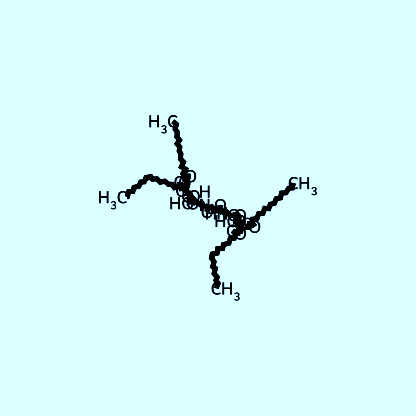 CCCCCCCC/C=C\CCCCCCCC(=O)O[C@H](COC(=O)CCCCCCCCCCCCCCC)COP(=O)(O)OCCNC(=O)CCC(=O)NCCOP(=O)(O)OC[C@@H](COC(=O)CCCCCCCCCCCCCCC)OC(=O)CCCCCCC/C=C\CCCCCCCC